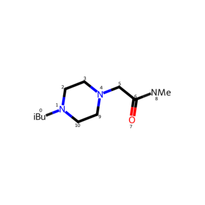 CCC(C)N1CCN(CC(=O)NC)CC1